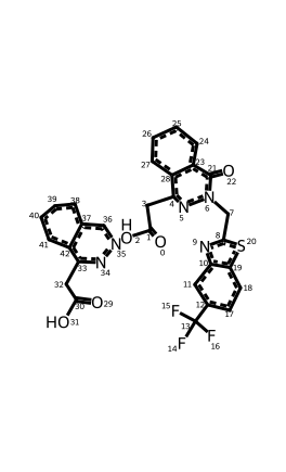 O=C(O)Cc1nn(Cc2nc3cc(C(F)(F)F)ccc3s2)c(=O)c2ccccc12.O=C(O)Cc1nncc2ccccc12